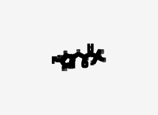 CC(C)(C)NC(=O)Cn1cc(F)cn1